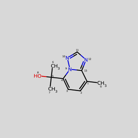 Cc1ccc(C(C)(C)O)n2ncnc12